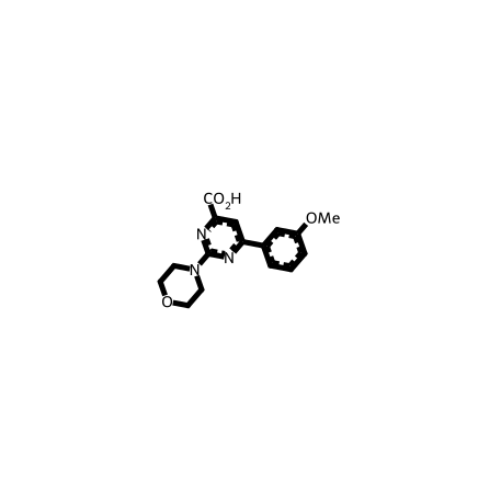 COc1cccc(-c2cc(C(=O)O)nc(N3CCOCC3)n2)c1